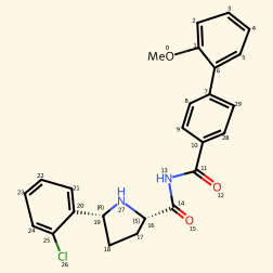 COc1ccccc1-c1ccc(C(=O)NC(=O)[C@@H]2CC[C@H](c3ccccc3Cl)N2)cc1